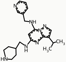 CC(C)c1cnn2c(NCc3cccnc3)cc(NCC3CCNCC3)nc12